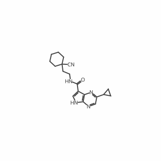 N#CC1(CCNC(=O)c2c[nH]c3ncc(C4CC4)nc23)CCCCC1